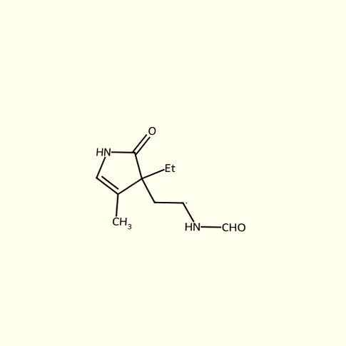 CCC1(C[CH]NC=O)C(=O)NC=C1C